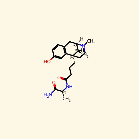 C[C@H](NC(=O)CCC[C@]12CCN(C)[C@H](Cc3ccc(O)cc31)[C@@H]2C)C(N)=O